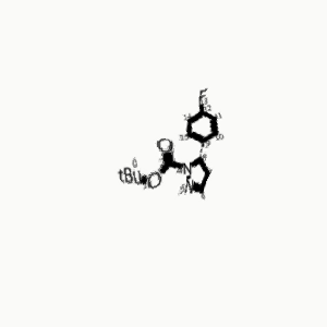 CC(C)(C)OC(=O)N1N=CC[C@H]1c1ccc(F)cc1